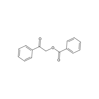 O=C(COC(=O)c1ccccc1)c1ccccc1